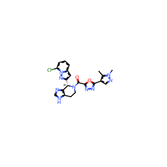 Cc1c(-c2nnc(C(=O)N3CCc4[nH]cnc4[C@@H]3c3cc4cccc(Cl)n4n3)o2)cnn1C